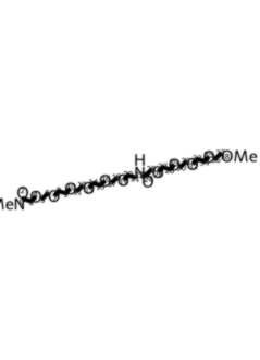 CNC(=O)COCCOCCOCCOCCOCCOCCNC(=O)COCCOCCOCCOCCOC